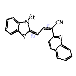 CCN1/C(=C\C=C(\C#N)c2ccc3ccccc3n2)Sc2ccccc21